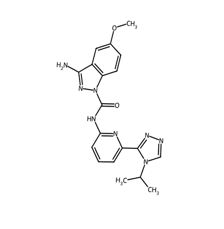 COc1ccc2c(c1)c(N)nn2C(=O)Nc1cccc(-c2nncn2C(C)C)n1